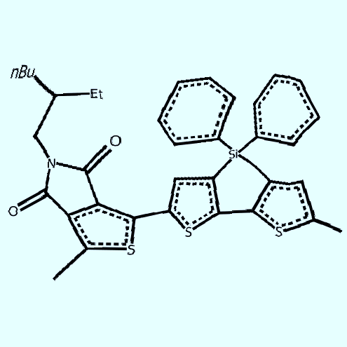 CCCCC(CC)CN1C(=O)c2c(C)sc(-c3cc4c(s3)-c3sc(C)cc3[Si]4(c3ccccc3)c3ccccc3)c2C1=O